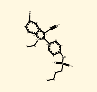 CCCCS(=O)(=O)Nc1ccc(-c2c(C#N)c3cc(Cl)ccc3n2CC)cc1